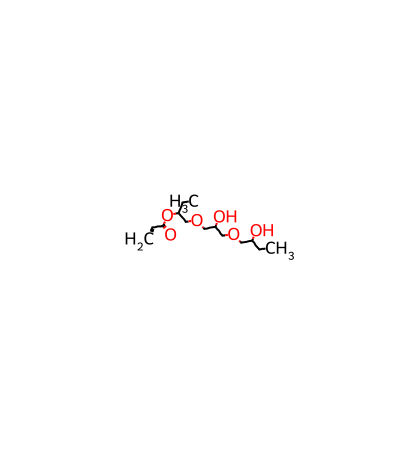 C=CC(=O)OC(CC)COCC(O)COCC(O)CC